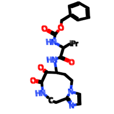 CC(C)C(NC(=O)OCc1ccccc1)C(=O)NC1CCn2ccnc2CCNC(=O)C1=O